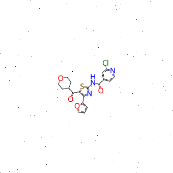 O=C(Nc1nc(-c2ccco2)c(C(=O)C2CCOCC2)s1)c1ccnc(Cl)c1